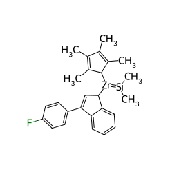 CC1=C(C)[CH]([Zr]([CH]2C=C(c3ccc(F)cc3)c3ccccc32)=[Si](C)C)C(C)=C1C